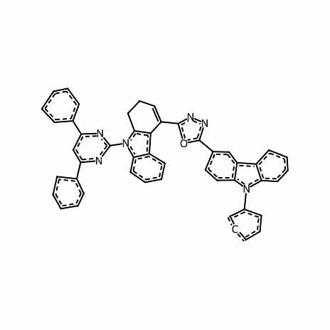 C1=C(c2nnc(-c3ccc4c(c3)c3ccccc3n4-c3ccccc3)o2)c2c(n(-c3nc(-c4ccccc4)cc(-c4ccccc4)n3)c3ccccc23)CC1